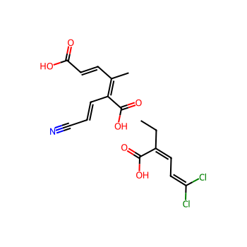 CC(C=CC(=O)O)=C(C=CC#N)C(=O)O.CCC(=CC=C(Cl)Cl)C(=O)O